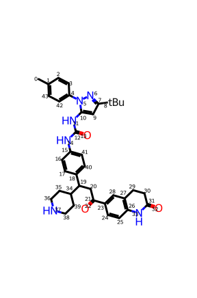 Cc1ccc(-n2nc(C(C)(C)C)cc2NC(=O)Nc2ccc(C(CC(=O)c3ccc4c(c3)CCC(=O)N4)C3CCNCC3)cc2)cc1